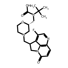 CC(C)(C)N(C[C@@H]1CN(CC2Cn3c(=O)ccc4ncc(F)c2c43)CCO1)C(=O)O